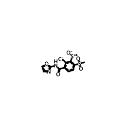 C[S+]([O-])c1c(S(C)(=O)=O)ccc(C(=O)Nc2ncco2)c1Cl